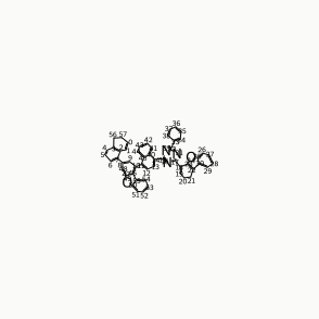 C1=Cc2c(cccc2-c2cc(-c3ccc(-c4nc(C5=CCCc6c5oc5ccccc65)nc(-c5ccccc5)n4)c4ccccc34)c3c(c2)oc2ccccc23)CC1